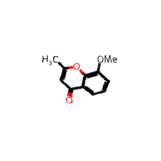 COc1cccc2c(=O)cc(C)oc12